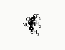 Cc1ccc(-c2c(C#N)nn(-c3c(Cl)cc(C(F)(F)F)cc3Cl)c2N)cc1